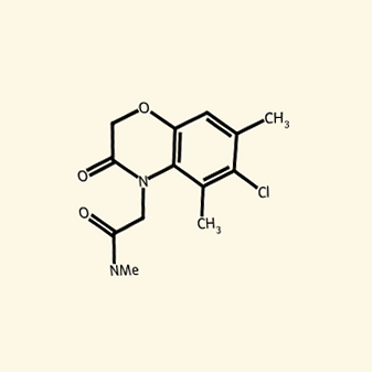 CNC(=O)CN1C(=O)COc2cc(C)c(Cl)c(C)c21